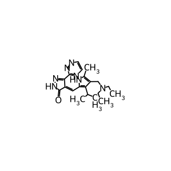 CCN(CC)Cc1c(C)[nH]c(/C=C2/C(=O)NN=C2c2nccnn2)c1C(C)C